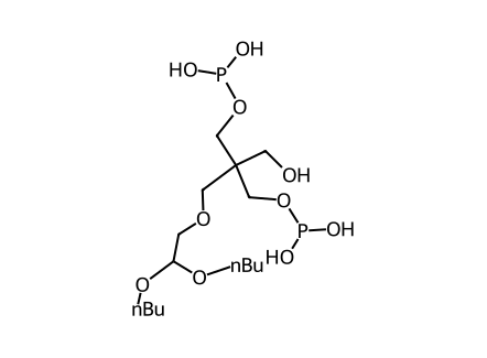 CCCCOC(COCC(CO)(COP(O)O)COP(O)O)OCCCC